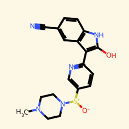 CN1CCN([S+]([O-])c2ccc(-c3c(O)[nH]c4ccc(C#N)cc34)nc2)CC1